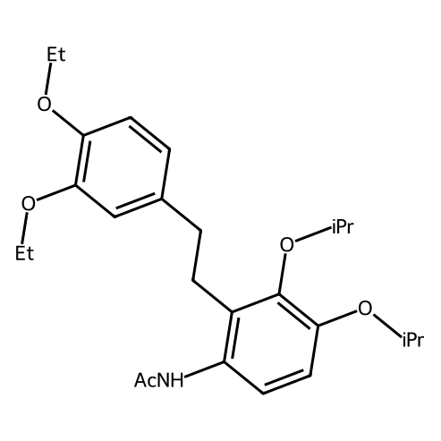 CCOc1ccc(CCc2c(NC(C)=O)ccc(OC(C)C)c2OC(C)C)cc1OCC